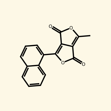 CC1=C2C(=O)OC(c3cccc4ccccc34)=C2C(=O)O1